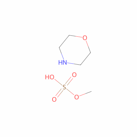 C1COCCN1.COS(=O)(=O)O